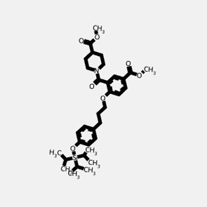 COC(=O)c1ccc(OCCCc2ccc(O[Si](C(C)C)(C(C)C)C(C)C)cc2)c(C(=O)N2CCC(C(=O)OC)CC2)c1